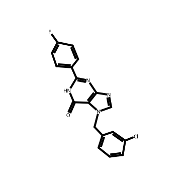 O=c1[nH]c(-c2ccc(F)cc2)nc2ncn(Cc3cccc(Cl)c3)c12